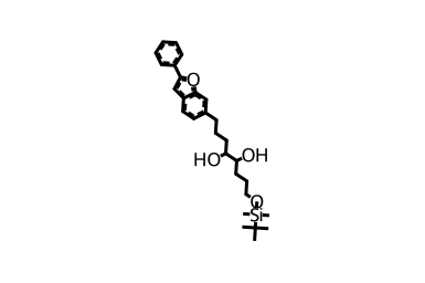 CC(C)(C)[Si](C)(C)OCCCC(O)C(O)CCCc1ccc2cc(-c3ccccc3)oc2c1